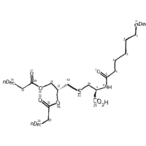 CCCCCCCCCCCCCCCC(=O)N[C@H](CSC[C@@H](COC(=O)CCCCCCCCCCC)OC(=O)CCCCCCCCCCC)C(=O)O